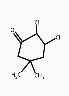 CC1(C)CC(=O)C(Cl)C(Cl)C1